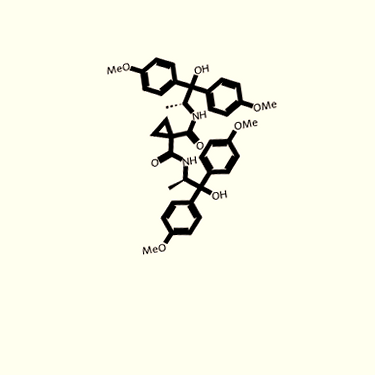 COc1ccc(C(O)(c2ccc(OC)cc2)[C@@H](C)NC(=O)C2(C(=O)N[C@H](C)C(O)(c3ccc(OC)cc3)c3ccc(OC)cc3)CC2)cc1